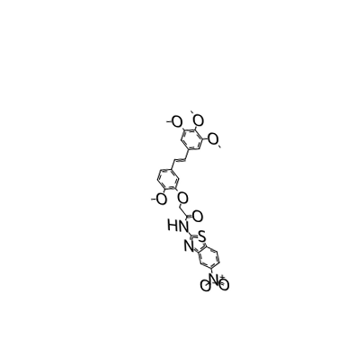 COc1ccc(C=Cc2cc(OC)c(OC)c(OC)c2)cc1OCC(=O)Nc1nc2cc([N+](=O)[O-])ccc2s1